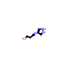 N#CCC=O.c1cn[nH]c1